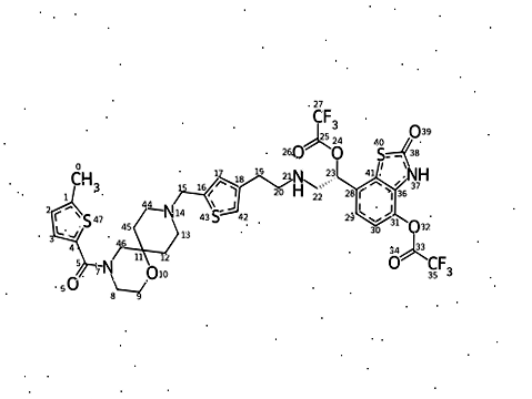 Cc1ccc(C(=O)N2CCOC3(CCN(Cc4cc(CCNC[C@H](OC(=O)C(F)(F)F)c5ccc(OC(=O)C(F)(F)F)c6[nH]c(=O)sc56)cs4)CC3)C2)s1